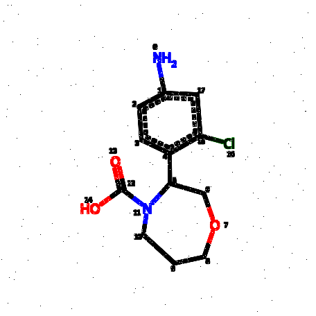 Nc1ccc(C2COCCCN2C(=O)O)c(Cl)c1